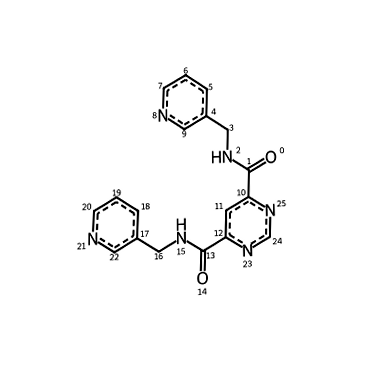 O=C(NCc1cccnc1)c1cc(C(=O)NCc2cccnc2)ncn1